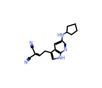 N#CC(C#N)=CCc1c[nH]c2ncc(NC3CCCC3)cc12